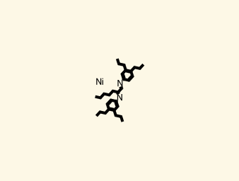 CCCCCC(/C=N/c1ccc(CCC)c(CCC)c1)=N\c1ccc(CCC)c(CCC)c1.[Ni]